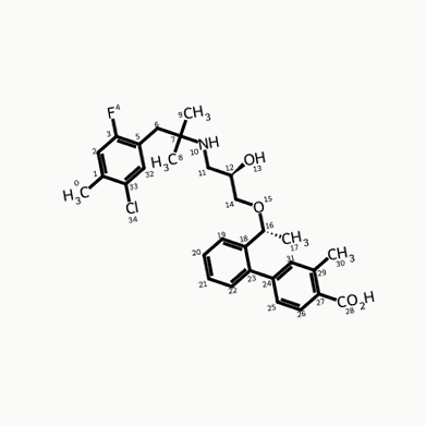 Cc1cc(F)c(CC(C)(C)NC[C@@H](O)CO[C@H](C)c2ccccc2-c2ccc(C(=O)O)c(C)c2)cc1Cl